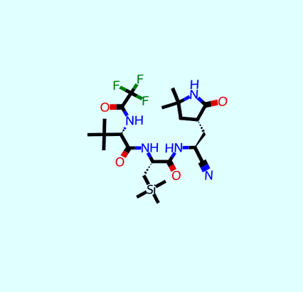 CC1(C)C[C@@H](C[C@@H](C#N)NC(=O)[C@H](C[Si](C)(C)C)NC(=O)[C@@H](NC(=O)C(F)(F)F)C(C)(C)C)C(=O)N1